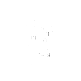 CC(C)(C)n1sc(-c2ccccc2)c(NCCc2ccccc2OC(F)(F)F)c1=O